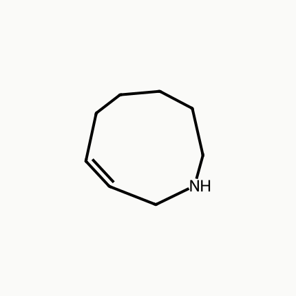 C1=C\CNCCCCC/1